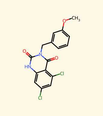 COc1cccc(Cn2c(=O)[nH]c3cc(Cl)cc(Cl)c3c2=O)c1